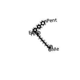 CCCCCC1CCC(c2ccc(-c3ccc(CC)c(NC(=O)CCCCCCCCCCCC(=O)OC)c3)cc2)CC1